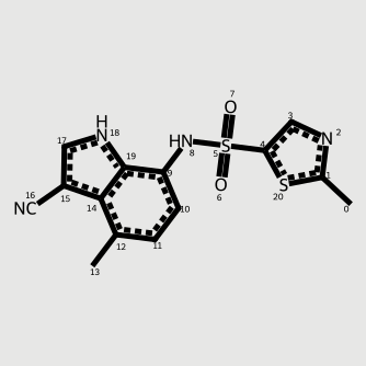 Cc1ncc(S(=O)(=O)Nc2ccc(C)c3c(C#N)c[nH]c23)s1